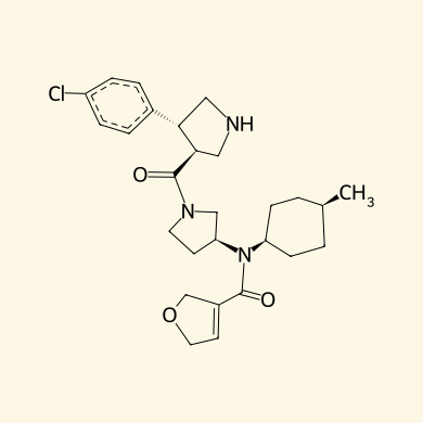 C[C@H]1CC[C@@H](N(C(=O)C2=CCOC2)[C@H]2CCN(C(=O)[C@@H]3CNC[C@H]3c3ccc(Cl)cc3)C2)CC1